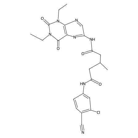 CCn1c(=O)c2nc(NC(=O)CC(C)CC(=O)Nc3ccc(C#N)c(Cl)c3)cnc2n(CC)c1=O